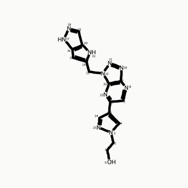 OCCn1cc(-c2cnc3nnn(Cc4cc5[nH]ncc5[nH]4)c3n2)cn1